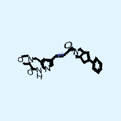 O=C1Nc2ncc(/C=C/C(=O)N3CC4C=C(c5ccccc5)CC4C3)cc2CN2CCOCC12